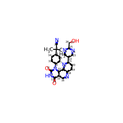 CC(C)(C#N)c1ccc(-n2c(=O)[nH]c(=O)c3cnc4ccc(-c5cnc(CO)nc5)nc4c32)cc1